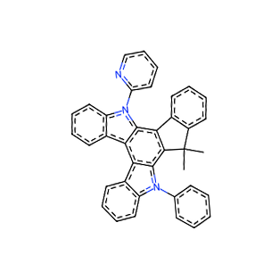 CC1(C)c2ccccc2-c2c1c1c(c3ccccc3n1-c1ccccc1)c1c3ccccc3n(-c3ccccn3)c21